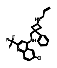 C=CCNC1CC(CNc2cc(C(F)(F)F)nc3ccc(Cl)cc23)(c2ccccc2)C1